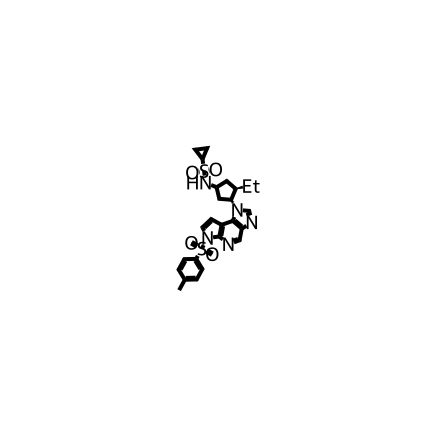 CC[C@@H]1CC(NS(=O)(=O)C2CC2)C[C@@H]1n1cnc2cnc3c(ccn3S(=O)(=O)c3ccc(C)cc3)c21